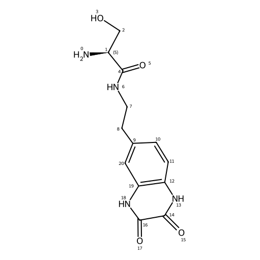 N[C@@H](CO)C(=O)NCCc1ccc2[nH]c(=O)c(=O)[nH]c2c1